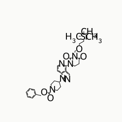 C[Si](C)(C)CCOCN1C(=O)CCN(c2nccc3c2cnn3C2CCN(C(=O)OCc3ccccc3)CC2)C1=O